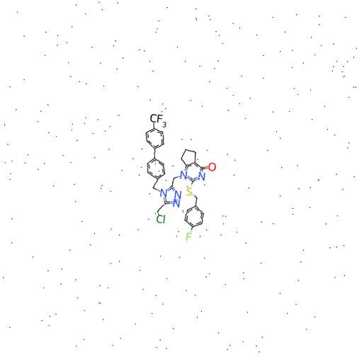 O=c1nc(SCc2ccc(F)cc2)n(Cc2nnc(CCl)n2Cc2ccc(-c3ccc(C(F)(F)F)cc3)cc2)c2c1CCC2